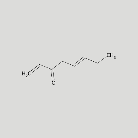 C=CC(=O)CC=CCC